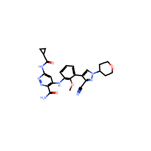 COc1c(Nc2cc(NC(=O)C3CC3)nnc2C(N)=O)cccc1-c1cn(C2CCOCC2)nc1C#N